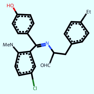 CCc1ccc(CC(C=O)/N=C(/c2ccc(O)cc2)c2cc(Cl)ccc2NC)cc1